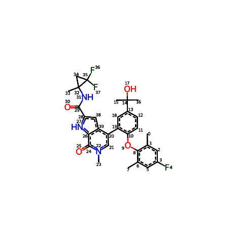 Cc1cc(F)cc(C)c1Oc1ccc(C(C)(C)O)cc1-c1cn(C)c(=O)c2[nH]c(C(=O)NC3(C)CC3(F)F)cc12